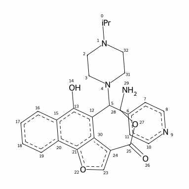 CC(C)N1CCN(C(c2ccncc2)c2c(O)c3ccccc3c3occ(C(=O)OCN)c23)CC1